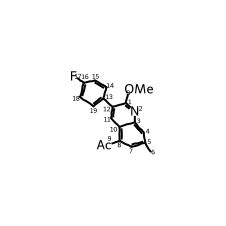 COc1nc2cc(C)cc(C(C)=O)c2cc1-c1ccc(F)cc1